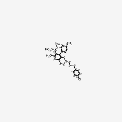 Cc1ccc(-c2c3c(nc(C)c2[C@H](OC(C)(C)C)C(=O)O)CCN(CCCc2ccc(Cl)cc2)C3)cc1